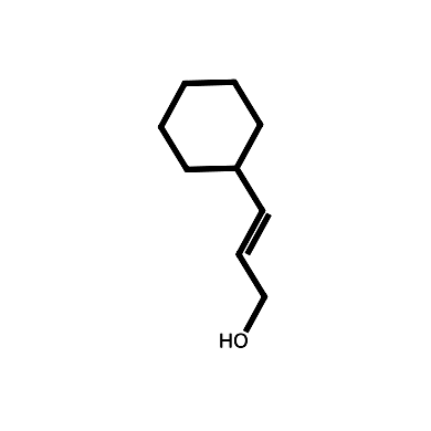 OCC=CC1CCCCC1